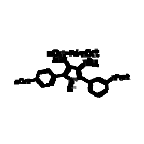 CCCCCCCCc1ccc(C2=C(CCCC)C(CCCC)=C(c3cccc(CCCCC)c3)[N+]2=[N-])cc1.CCCCCCC[CH2][Pd][CH2]CCCCCCC